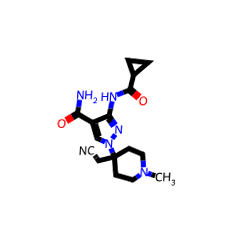 CN1CCC(CC#N)(n2cc(C(N)=O)c(NC(=O)C3CC3)n2)CC1